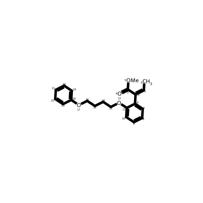 CC=C(C(=O)OC)c1ccccc1OCCCCOc1ccccc1